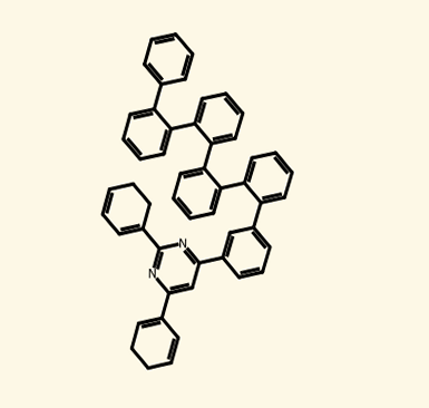 C1=CCCC(c2nc(C3=CCCC=C3)cc(-c3cccc(-c4ccccc4-c4ccccc4-c4ccccc4-c4ccccc4-c4ccccc4)c3)n2)=C1